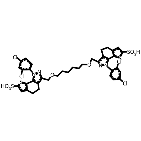 O=S(=O)(O)c1cc2c(s1)-c1c(c(COCCCCCCOCc3nn(-c4ccc(Cl)cc4Cl)c4c3CCc3cc(S(=O)(=O)O)sc3-4)nn1-c1ccc(Cl)cc1Cl)CC2